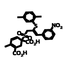 CC1=C(C(=O)O)CC(C(=O)O)(S(=O)(=O)CC(=Cc2cccc([N+](=O)[O-])c2)Sc2cc(C)ccc2C)C=C1